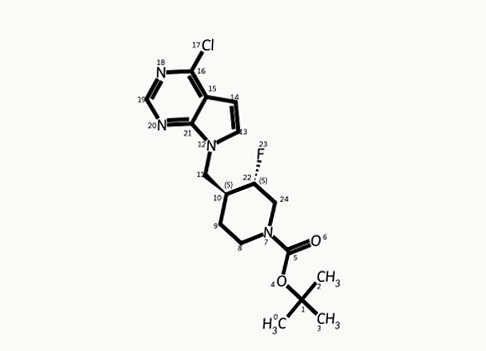 CC(C)(C)OC(=O)N1CC[C@@H](Cn2ccc3c(Cl)ncnc32)[C@H](F)C1